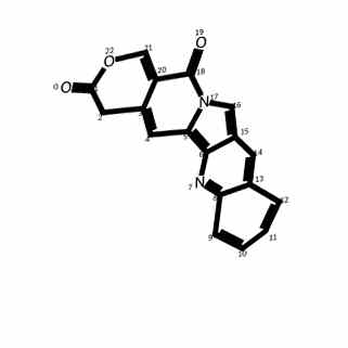 O=C1Cc2cc3c4nc5ccccc5cc4cn3c(=O)c2=CO1